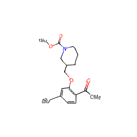 COC(=O)c1ccc(C(C)(C)C)cc1OCC1CCCN(C(=O)OC(C)(C)C)C1